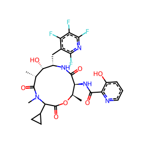 C[C@H]1OC(=O)C(C2CC2)N(C)C(=O)[C@H](C)[C@H](O)[C@H](Cc2c(F)nc(F)c(F)c2F)NC(=O)[C@H]1NC(=O)c1ncccc1O